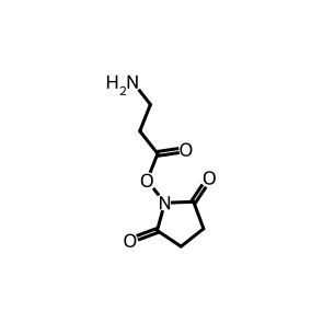 NCCC(=O)ON1C(=O)CCC1=O